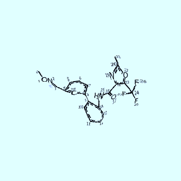 CO/N=C/c1cccc(-c2ccccc2NC(=O)c2nc(C)oc2C(F)(F)F)c1